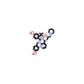 COc1ccc(CN(Cc2ccc(OC)cc2)c2ncccc2[C@@H](CCCN2CCCCC2)N[S@@+]([O-])C(C)(C)C)cc1